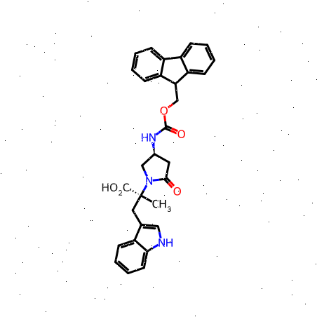 C[C@](Cc1c[nH]c2ccccc12)(C(=O)O)N1C[C@@H](NC(=O)OCC2c3ccccc3-c3ccccc32)CC1=O